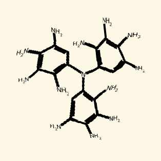 Nc1cc(N(c2cc(N)c(N)c(N)c2N)c2cc(N)c(N)c(N)c2N)c(N)c(N)c1N